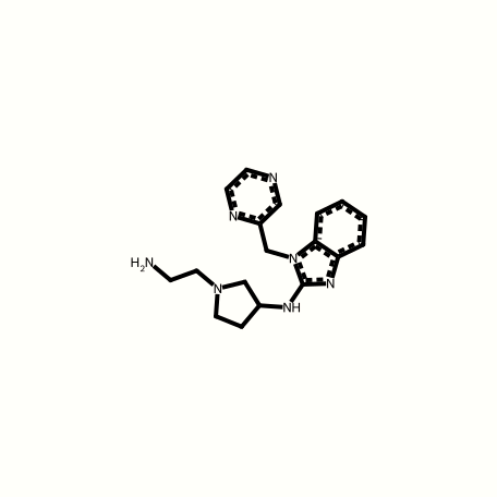 NCCN1CCC(Nc2nc3ccccc3n2Cc2cnccn2)C1